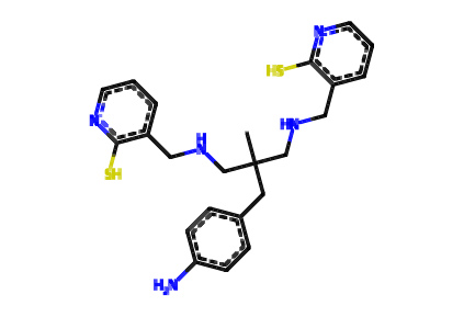 CC(CNCc1cccnc1S)(CNCc1cccnc1S)Cc1ccc(N)cc1